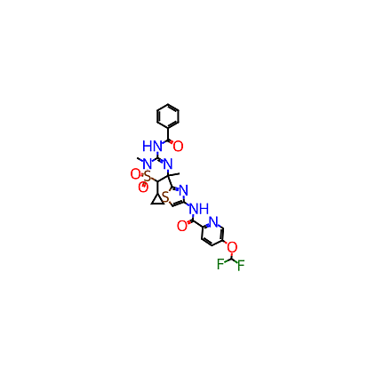 CN1C(NC(=O)c2ccccc2)=NC(C)(c2nc(NC(=O)c3ccc(OC(F)F)cn3)cs2)C(C2CC2)S1(=O)=O